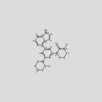 CC1COCCN1c1cc(N2CCCN(C)C2=O)nc(-c2ccnc3[nH]ccc23)n1